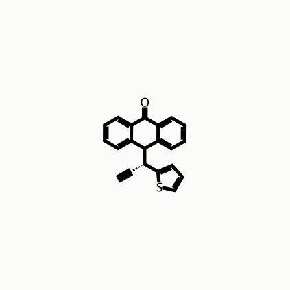 C#C[C@@H](c1cccs1)C1c2ccccc2C(=O)c2ccccc21